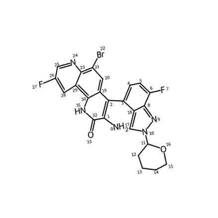 Nc1c(-c2ccc(F)c3nn(C4CCCCO4)cc23)c2cc(Br)c3ncc(F)cc3c2[nH]c1=O